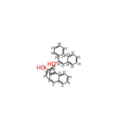 Oc1c2ccc3cc4ccccc4c-2c13.Oc1cc2ccccc2c2ccccc12